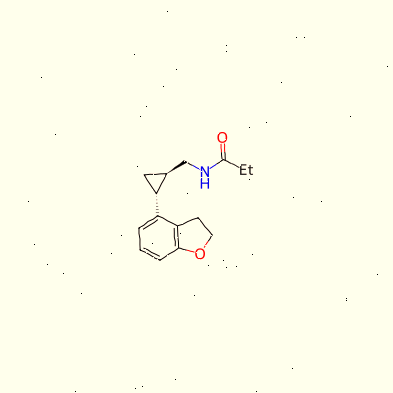 CCC(=O)NC[C@@H]1C[C@H]1c1cccc2c1CCO2